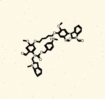 CNc1ccc(COC(=O)N(CC2Cc3ccccc3N2C)c2cc(OCCCCCOc3cc(/N=C\[C@@H]4Cc5ccccc5N4C=O)c(C)cc3OC)c(OC)cc2C=O)cc1